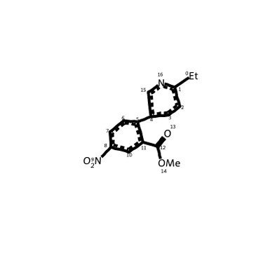 CCc1ccc(-c2ccc([N+](=O)[O-])cc2C(=O)OC)cn1